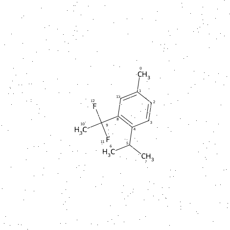 Cc1ccc(C(C)C)c(C(C)(F)F)c1